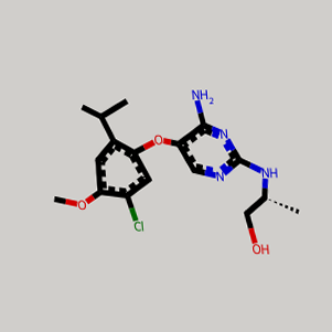 COc1cc(C(C)C)c(Oc2cnc(N[C@H](C)CO)nc2N)cc1Cl